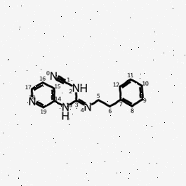 N#CNC(=NCCc1ccccc1)Nc1cccnc1